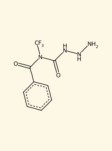 NNNC(=O)N(C(=O)c1ccccc1)C(F)(F)F